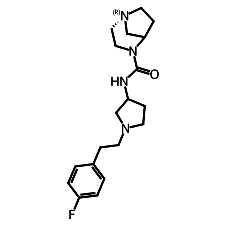 O=C(NC1CCN(CCc2ccc(F)cc2)C1)N1CC[N@]2CCC1C2